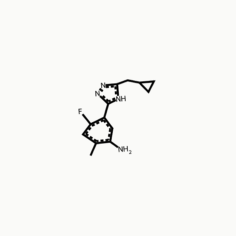 Cc1cc(F)c(-c2nnc(CC3CC3)[nH]2)cc1N